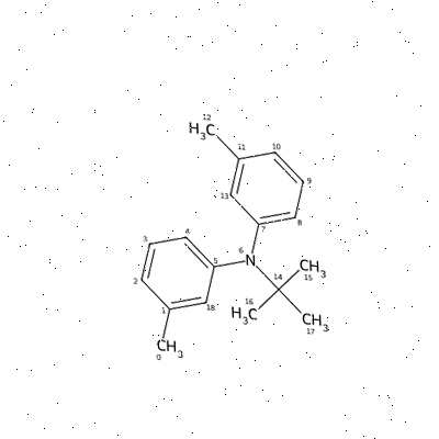 Cc1cccc(N(c2cccc(C)c2)C(C)(C)C)c1